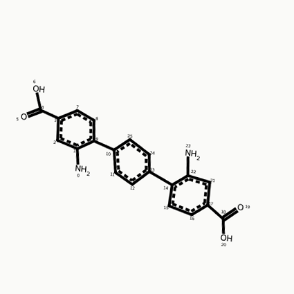 Nc1cc(C(=O)O)ccc1-c1ccc(-c2ccc(C(=O)O)cc2N)cc1